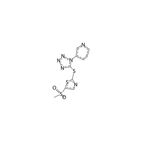 CS(=O)(=O)c1cnc(Sc2nnnn2-c2cccnc2)s1